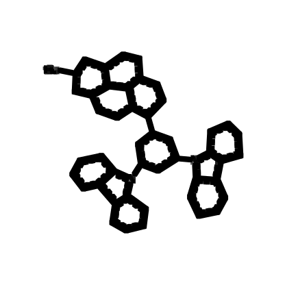 CC(C)(C)c1cc2ccc3ccc(-c4cc(-n5c6ccccc6c6ccccc65)cc(-n5c6ccccc6c6ccccc65)c4)c4ccc(c1)c2c34